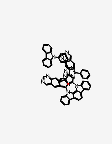 c1ccc(-c2nc(-c3cccc(-n4c5ccccc5c5ccccc54)c3)nc(-c3cccc(-n4c5ccccc5c5ccc6c7ccccc7n(-c7cc(-c8ccc9cncnc9c8)nc(-c8ccc9cncnc9c8)n7)c6c54)c3)n2)cc1